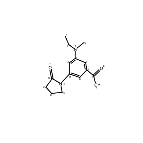 CCN(C)c1cc(C(=O)O)cc(N2CCCC2=O)c1